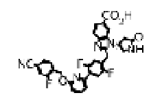 N#Cc1ccc(COc2cccc(-c3cc(F)c(Cc4nc5ccc(C(=O)O)cc5n4[C@H]4CNC(=O)C4)cc3F)n2)c(F)c1